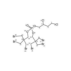 O=P(OCC(Cl)CCCl)(OCC(CBr)(CBr)CBr)OCC(CBr)(CBr)CBr